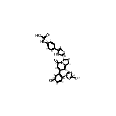 O=C(O)Nc1ccc(-c2cnc([C@@H]3CCc4cc(-c5cc(Cl)ccc5-n5cnc(O)n5)cc(=O)n43)[nH]2)cc1